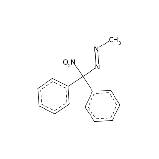 CN=NC(c1ccccc1)(c1ccccc1)[N+](=O)[O-]